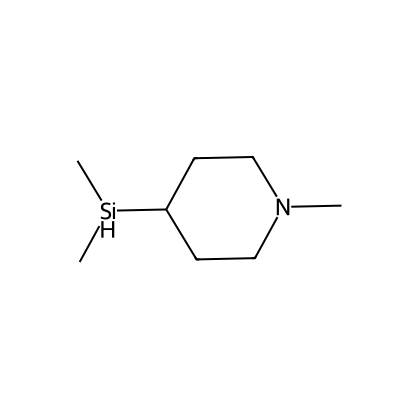 CN1CCC([SiH](C)C)CC1